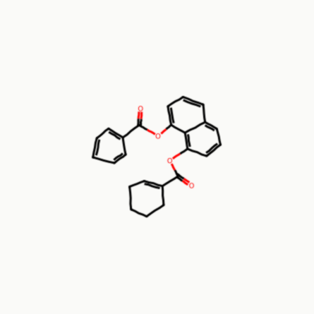 O=C(Oc1cccc2cccc(OC(=O)c3ccccc3)c12)C1=CCCCC1